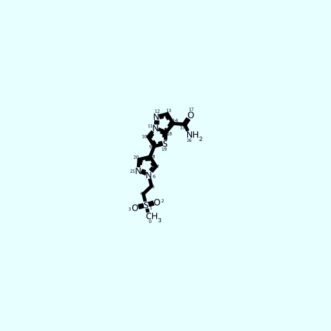 CS(=O)(=O)CCn1cc(-c2cn3ncc(C(N)=O)c3s2)cn1